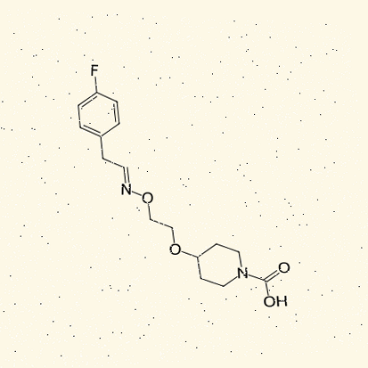 O=C(O)N1CCC(OCCON=CCc2ccc(F)cc2)CC1